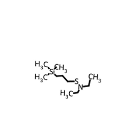 CCN(CC)SCCC[Si](C)(C)C